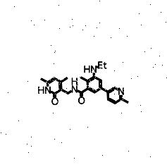 CCNc1cc(-c2ccc(C)nc2)cc(C(=O)NCc2c(C)cc(C)[nH]c2=O)c1C